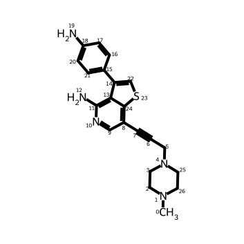 CN1CCN(CC#Cc2cnc(N)c3c(-c4ccc(N)cc4)csc23)CC1